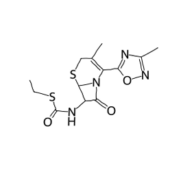 CCSC(=O)NC1C(=O)N2C(c3nc(C)no3)=C(C)CSC12